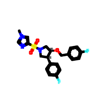 Cn1cnc(S(=O)(=O)N2C[C@H](OCc3ccc(F)cc3)[C@@H](c3ccc(F)cc3)C2)c1